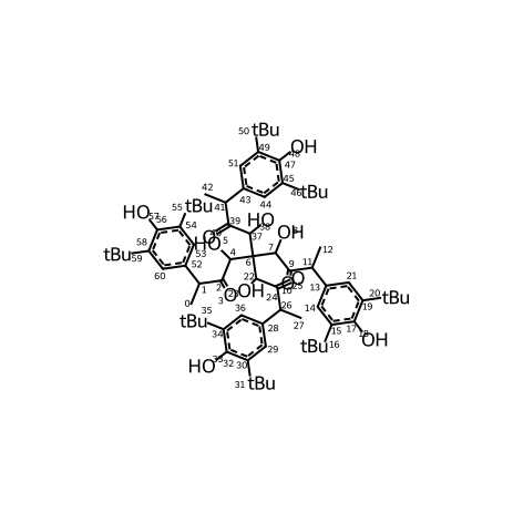 CC(C(=O)C(O)C(C(O)C(=O)C(C)c1cc(C(C)(C)C)c(O)c(C(C)(C)C)c1)(C(O)C(=O)C(C)c1cc(C(C)(C)C)c(O)c(C(C)(C)C)c1)C(O)C(=O)C(C)c1cc(C(C)(C)C)c(O)c(C(C)(C)C)c1)c1cc(C(C)(C)C)c(O)c(C(C)(C)C)c1